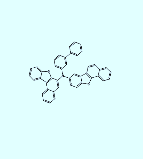 c1ccc(-c2cccc(N(c3ccc4sc5c6ccccc6ccc5c4c3)c3cc4ccccc4c4c3sc3ccccc34)c2)cc1